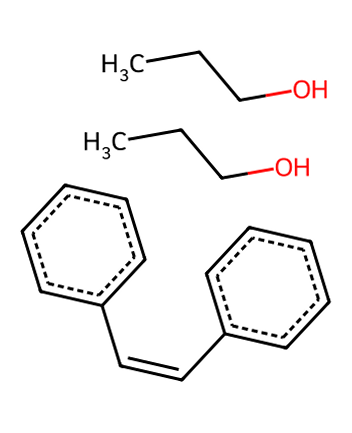 C(=C/c1ccccc1)/c1ccccc1.CCCO.CCCO